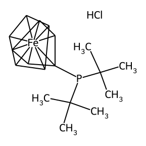 CC(C)(C)P(C(C)(C)C)[C]12[CH]3[CH]4[CH]5[CH]1[Fe]45321678[CH]2[CH]1[CH]6[CH]7[CH]28.Cl